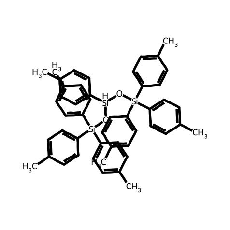 Cc1ccc([SiH](O[Si](c2ccc(C)cc2)(c2ccc(C)cc2)c2ccc(C)cc2)O[Si](c2ccc(C)cc2)(c2ccc(C)cc2)c2ccc(C)cc2)cc1